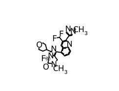 CN1Cc2c(-c3cccc4nc(-c5cnn(C)c5)c(C(F)F)cc34)nc(C3CCOCC3)n2[C@@H](F)C1=O